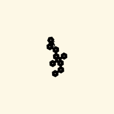 c1ccc(-c2cccc(-c3ccc4c(-c5ccccc5)c5cc(-c6cccc(-c7cccc8c7sc7ccccc78)c6)ccc5c(-c5ccccc5)c4c3)c2)cc1